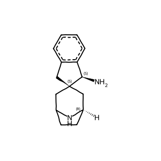 N[C@@H]1c2ccccc2C[C@@]12CC1CC[C@H](C2)N1